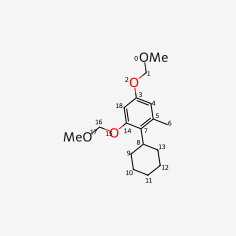 COCOc1cc(C)c(C2CCCCC2)c(OCOC)c1